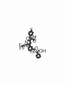 CNC(=O)c1c(-c2ccc(F)cc2)oc2nc(NCC(F)(F)F)c(-c3cccc(C(=O)N[C@@H](CO)c4ccccc4)c3)cc12